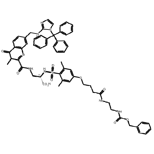 Cc1cc(OCCCC(=O)NCCNC(=O)OCc2ccccc2)cc(C)c1S(=O)(=O)N[C@@H](CNC(=O)C1=Nc2cc(CNc3nccn3C(c3ccccc3)(c3ccccc3)c3ccccc3)ccc2C(=O)C1C)C(=O)O